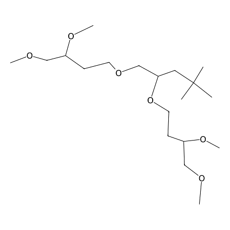 COCC(CCOCC(CC(C)(C)C)OCCC(COC)OC)OC